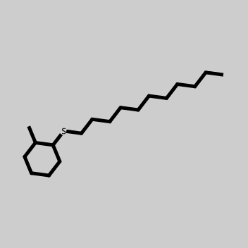 CCCCCCCCCCCSC1CCCCC1C